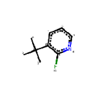 CC(C)(C)c1cccnc1F